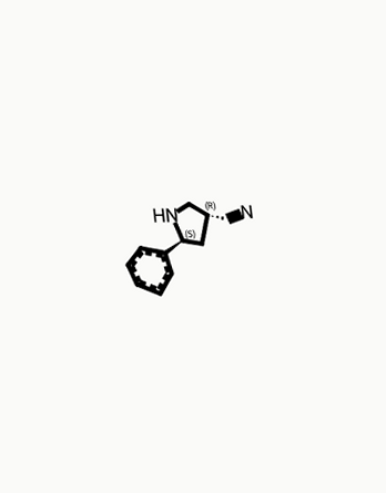 N#C[C@H]1CN[C@H](c2ccccc2)C1